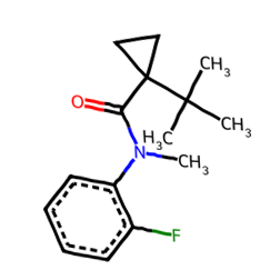 CN(C(=O)C1(C(C)(C)C)CC1)c1ccccc1F